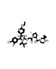 C=C(C(C)C)N1C(SCC(=O)N2[C@H](C)CC[C@H]2C(=O)N2CCNC3(CC3)C2)N[C@@](C)(c2ccc(OCC)nc2)C1c1ccc(Cl)c(F)c1